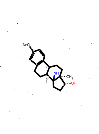 CC(=O)Oc1ccc2c(c1)CC[C@H]1C2CC[C@@]2(C)[C@H](O)CCC12N